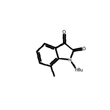 CCCCN1C(=O)C(=O)c2cccc(C)c21